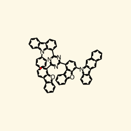 c1ccc(-n2c3ccccc3c3cccc(-c4nc(-c5cccc6c5oc5ccccc56)nc(-c5ccc(-n6c7ccccc7c7cc8ccccc8cc76)c6oc7ccccc7c56)n4)c32)cc1